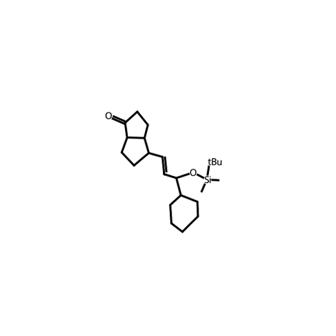 CC(C)(C)[Si](C)(C)OC(C=CC1CCC2C(=O)CCC12)C1CCCCC1